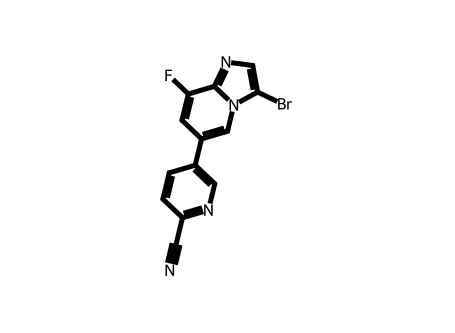 N#Cc1ccc(-c2cc(F)c3ncc(Br)n3c2)cn1